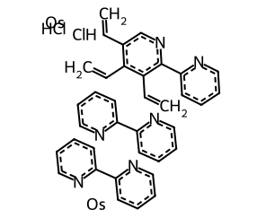 C=Cc1cnc(-c2ccccn2)c(C=C)c1C=C.Cl.Cl.[Os].[Os].c1ccc(-c2ccccn2)nc1.c1ccc(-c2ccccn2)nc1